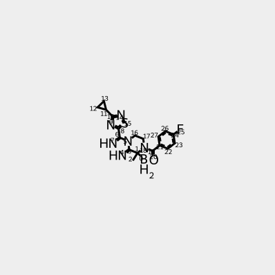 BC1(C)C(=N)N(C(=N)c2nc(C3CC3)ns2)CCN1C(=O)c1ccc(F)cc1